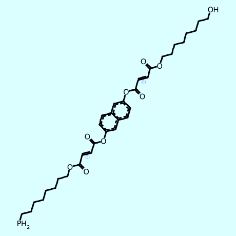 O=C(/C=C/C(=O)Oc1ccc2cc(OC(=O)/C=C/C(=O)OCCCCCCCCP)ccc2c1)OCCCCCCCCO